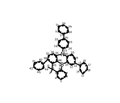 CC1(C)c2ccccc2B2c3cc(-c4ccccc4)ccc3N(c3ccc(-c4ccccc4)cc3)c3ccc(-c4ccccc4)c1c32